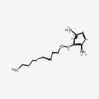 CCCCCCCCCOOc1cc(N)ccc1N